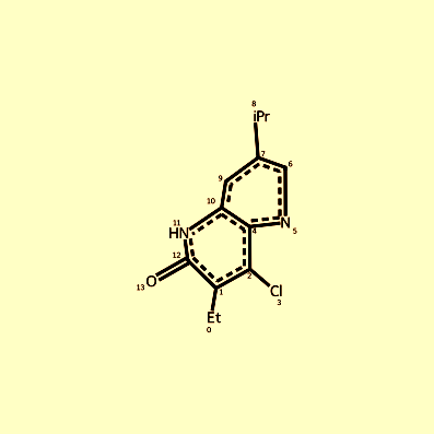 CCc1c(Cl)c2ncc(C(C)C)cc2[nH]c1=O